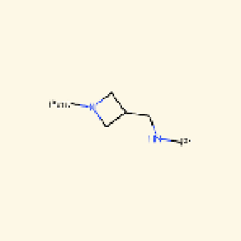 CCCC(C)N1CC(CNC(C)C)C1